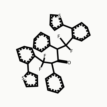 O=C(C(c1ccccc1)C(F)(F)c1ccccc1-c1cccs1)C(c1ccccc1)C(F)(F)c1ccccc1-c1cccs1